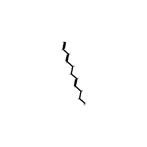 C=C/C=C/CC/C=C/CCC